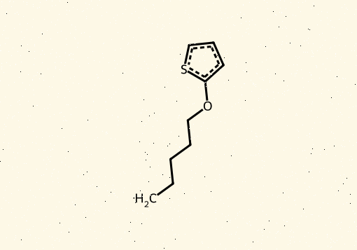 [CH2]CCCCOc1cccs1